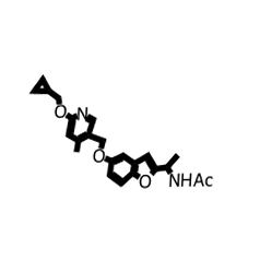 CC(=O)NC(C)c1cc2cc(OCc3cnc(OCC4CC4)cc3C)ccc2o1